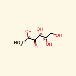 O=C(O)[C@@H](O)C(=O)[C@H](O)[C@H](O)CO